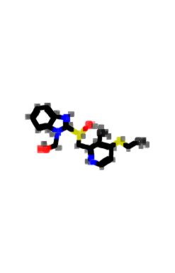 CCSc1ccnc(C[S+]([O-])c2nc3ccccc3n2CO)c1C